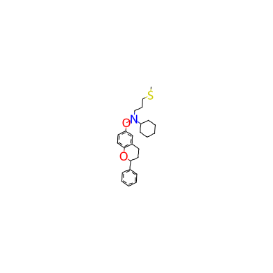 CSCCCN(Oc1ccc2c(c1)CCC(c1ccccc1)O2)C1CCCCC1